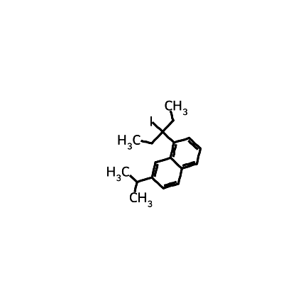 CCC(I)(CC)c1cccc2ccc(C(C)C)cc12